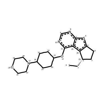 IC[C@H]1CCc2sc3ncnc(OC4CCC(N5CCOCC5)CC4)c3c21